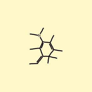 C/C=C1\C(C)=C(N(C)C)C(C)=C(C)C1(C)C